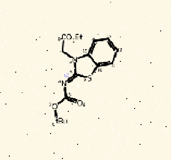 CCOC(=O)Cn1/c(=N/C(=O)OC(C)(C)C)sc2ccccc21